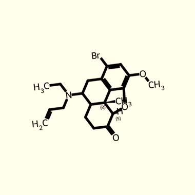 C=CCN(CC)C1Cc2c(Br)cc(OC)c3c2[C@@]2(C)C1CCC(=O)[C@H]2O3